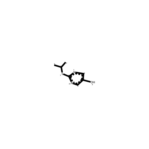 CC(C)Sc1ncc(O)cn1